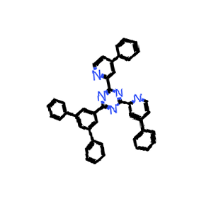 c1ccc(-c2cc(-c3ccccc3)cc(-c3nc(-c4cc(-c5ccccc5)ccn4)nc(-c4cc(-c5ccccc5)ccn4)n3)c2)cc1